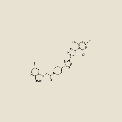 COc1ncc(I)cc1OCC(=O)N1CCC(c2nc(C3=NOC(c4c(Cl)cc(Cl)cc4Cl)C3)cs2)CC1